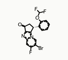 O=C1C[C@H](c2ccccc2OC(F)F)c2c1nc1cc(F)c(Br)cn21